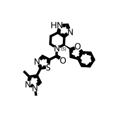 Cc1nn(C)cc1-c1ncc(C(=O)N2CCc3[nH]cnc3[C@H]2c2cc3ccccc3o2)s1